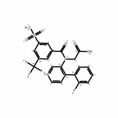 CS(=O)(=O)c1cc(C(=O)N(CC(=O)O)c2cnccc2-c2ccccc2F)cc(C(F)(F)F)c1